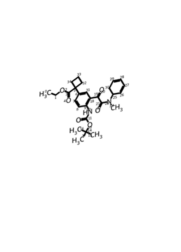 CCOC(=O)C1(c2ccc(NC(=O)OC(C)(C)C)c(C(=O)C(=O)N(C)C3C=CC=CC3)c2)CCC1